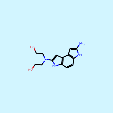 Nc1cc2c(ccc3[nH]c(N(CCO)CCO)cc32)[nH]1